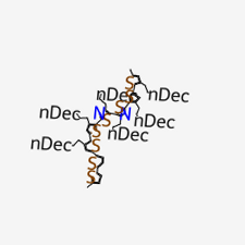 CCCCCCCCCCCCc1cc(C)sc1-c1cc(CCCCCCCCCCCC)c(-c2nc(CCCCCCCCCCCC)c(-c3sc(-c4sc(-c5sc(-c6ccc(-c7ccc(C)s7)s6)cc5CCCCCCCCCCCC)cc4CCCCCCCCCCCC)nc3CCCCCCCCCCCC)s2)s1